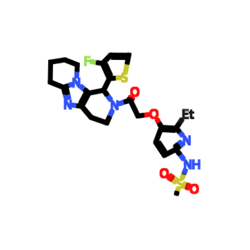 CCc1nc(NS(C)(=O)=O)ccc1OCC(=O)N1CCc2nc3n(c2C1c1sccc1F)CCCC3